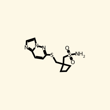 NS(=O)(=O)CC1(CSc2ccc3nccn3n2)CCC1